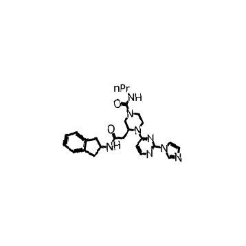 CCCNC(=O)N1CCN(c2ccnc(-n3ccnc3)n2)C(CC(=O)NC2Cc3ccccc3C2)C1